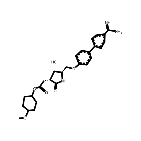 COC1CCC(OC(=O)C[C@@H]2C[C@@H](COc3ccc(-c4ccc(C(=N)N)cc4)cc3)NC2=O)CC1.Cl